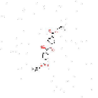 CCOC(=O)c1ccc(C(=O)C(O)c2ccc(C(=O)OCC)cc2)cc1